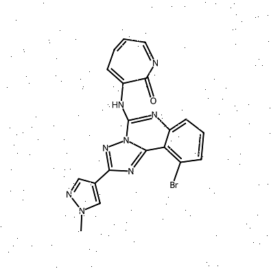 Cn1cc(-c2nc3c4c(Br)cccc4nc(Nc4ccccnc4=O)n3n2)cn1